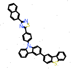 c1ccc2cc(-c3nsc(-c4ccc(-n5c6ccccc6c6cc(-c7ccc8sc9ccccc9c8c7)ccc65)cc4)n3)ccc2c1